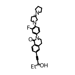 CC[C@H](O)C#Cc1ccc2c(c1)CCN(c1ccc(N3CC[C@@H](N4CCCC4)C3)c(F)c1)C2=O